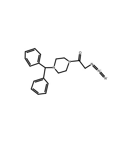 [N-]=[N+]=NCC(=O)N1CCN(C(c2ccccc2)c2ccccc2)CC1